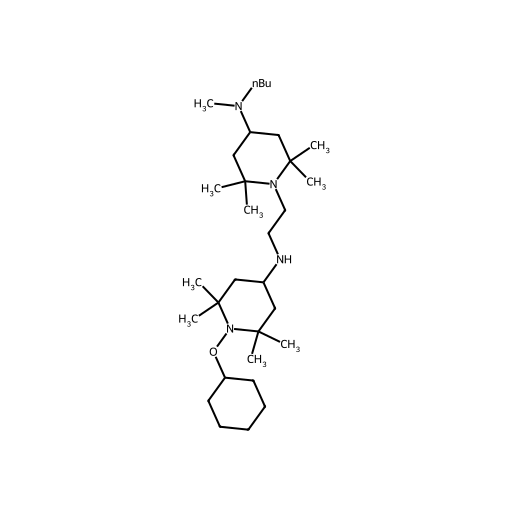 CCCCN(C)C1CC(C)(C)N(CCNC2CC(C)(C)N(OC3CCCCC3)C(C)(C)C2)C(C)(C)C1